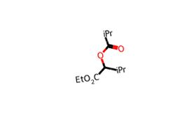 CCOC(=O)C(OC(=O)C(C)C)C(C)C